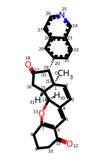 C[C@]12C=CC3=CC4=C(CCCC4=O)O[C@H]3[C@@H]1CC(=O)[C@@H]2c1ccc2cnccc2c1